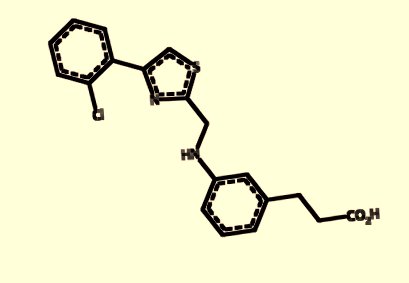 O=C(O)CCc1cccc(NCc2nc(-c3ccccc3Cl)cs2)c1